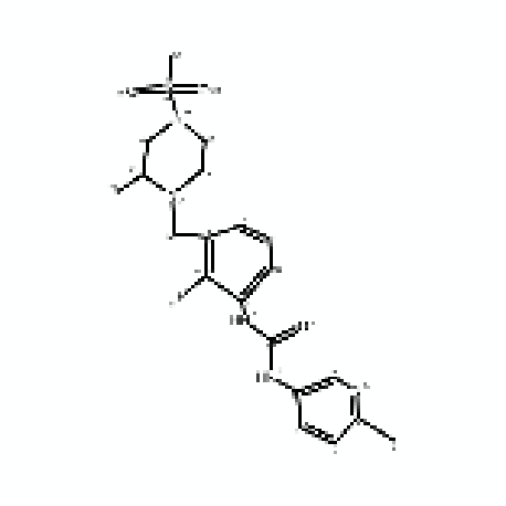 Cc1ccc(NC(=O)Nc2cccc(CN3CCN(S(C)(=O)=O)CC3C)c2F)cn1